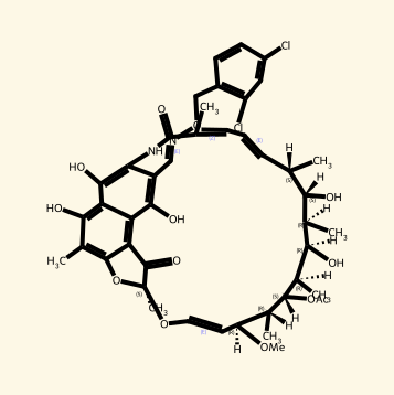 CO[C@H]1/C=C/O[C@@]2(C)Oc3c(C)c(O)c4c(O)c(c(/C=N/OCc5ccc(Cl)cc5Cl)c(O)c4c3C2=O)NC(=O)/C(C)=C\C=C\[C@H](C)[C@H](O)[C@@H](C)[C@@H](O)[C@@H](C)[C@H](OC(C)=O)[C@@H]1C